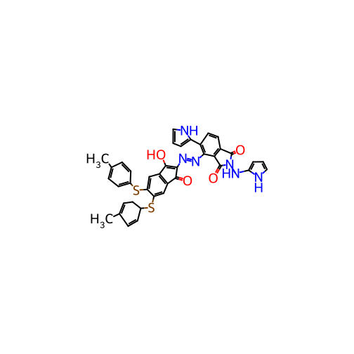 CC1=CCC(Sc2cc3c(cc2Sc2ccc(C)cc2)C(O)=C(N=Nc2c(-c4ccc[nH]4)ccc4c2C(=O)N(Nc2ccc[nH]2)C4=O)C3=O)C=C1